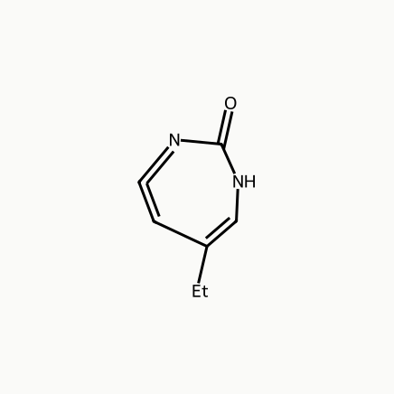 CCC1=CNC(=O)N=C=C1